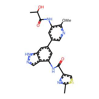 COc1ncc(-c2cc(NC(=O)c3csc(C)n3)c3cn[nH]c3c2)cc1NC(=O)C(C)O